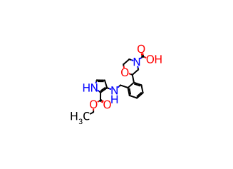 CCOC(=O)c1[nH]ccc1NCc1ccccc1C1CN(C(=O)O)CCO1